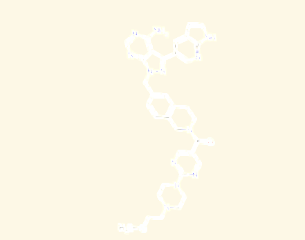 COCCN1CCN(c2ncc(C(=O)N3CCc4cc(Cn5nc(-c6cnc7[nH]ccc7c6)c6c(N)ncnc65)ccc4C3)cn2)CC1